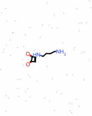 NCCCCNc1cc(=O)c1=O